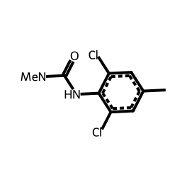 CNC(=O)Nc1c(Cl)cc(C)cc1Cl